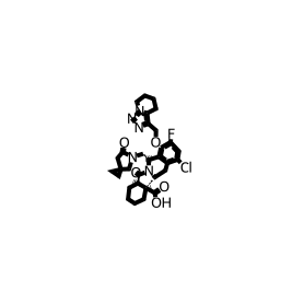 C[C@]1(C(=O)O)CCCC[C@H]1C(=O)N1CCc2c(Cl)cc(F)c(OCc3nnn4c3CCCC4)c2[C@H]1CN1CC2(CC2)CC1=O